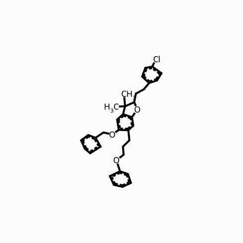 CC1(C)c2cc(OCc3ccccc3)c(CCCOc3ccccc3)cc2OC1CCc1ccc(Cl)cc1